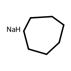 C1CCCCCC1.[NaH]